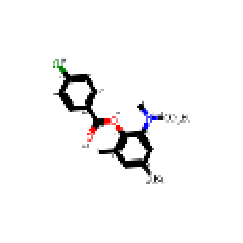 CCOC(=O)N(C)c1cc(C(C)(C)C)cc(C)c1OC(=O)c1ccc(Cl)cc1